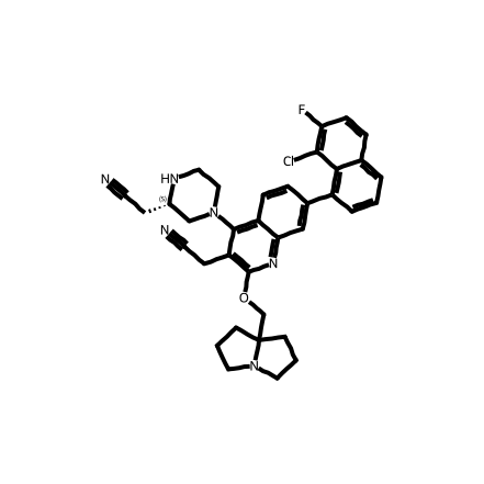 N#CCc1c(OCC23CCCN2CCC3)nc2cc(-c3cccc4ccc(F)c(Cl)c34)ccc2c1N1CCN[C@@H](CC#N)C1